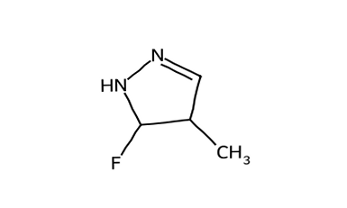 CC1C=NNC1F